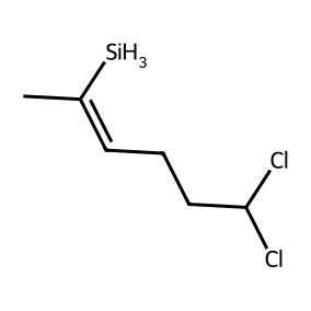 CC([SiH3])=CCCC(Cl)Cl